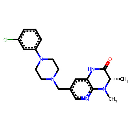 C[C@H]1C(=O)Nc2cc(CN3CCN(c4cccc(Cl)c4)CC3)cnc2N1C